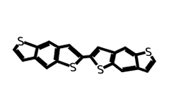 c1cc2cc3sc(-c4cc5cc6sccc6cc5s4)cc3cc2s1